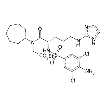 CCOC(=O)CN(C(=O)[C@H](CCCNc1ncc[nH]1)NS(=O)(=O)c1cc(Cl)c(N)c(Cl)c1)C1CCCCCC1